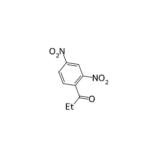 CCC(=O)c1ccc([N+](=O)[O-])cc1[N+](=O)[O-]